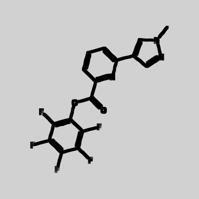 Cn1cc(-c2cccc(C(=O)Oc3c(F)c(F)c(F)c(F)c3F)n2)cn1